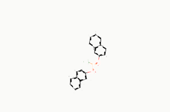 ClP(Oc1ccc2ccccc2c1)Oc1ccc2ccccc2c1